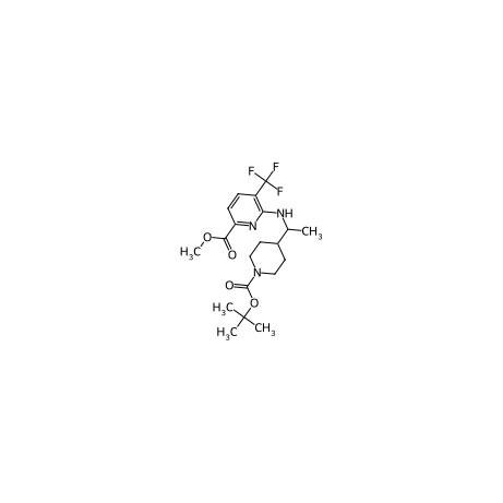 COC(=O)c1ccc(C(F)(F)F)c(NC(C)C2CCN(C(=O)OC(C)(C)C)CC2)n1